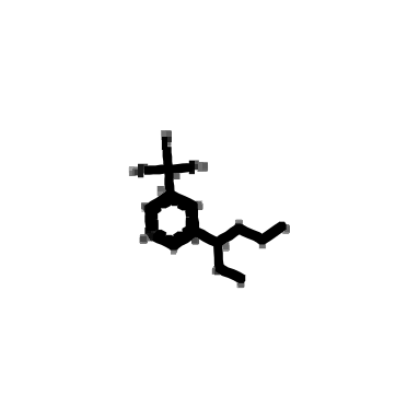 CCCC(CC)c1cncc(C(F)(F)F)c1